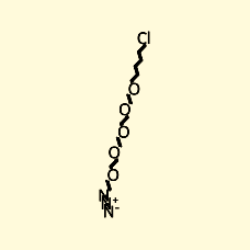 [N-]=[N+]=NCCOCCOCCOCCOCCOCCCCCCCl